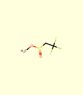 COS(=O)CC(F)(F)F